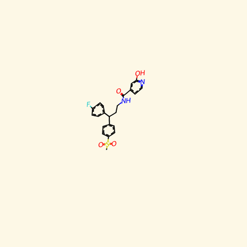 CS(=O)(=O)c1ccc(C(CCNC(=O)c2ccnc(O)c2)c2ccc(F)cc2)cc1